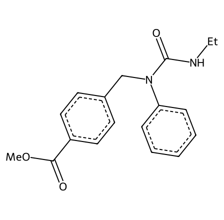 CCNC(=O)N(Cc1ccc(C(=O)OC)cc1)c1ccccc1